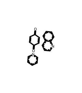 O=C1C=CC(=O)C=C1.c1ccc2ncccc2c1.c1ccncc1